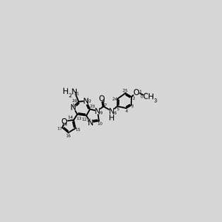 COc1ccc(NC(=O)n2cnc3c(-c4ccco4)nc(N)nc32)cc1